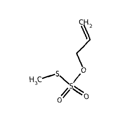 C=CCOS(=O)(=O)SC